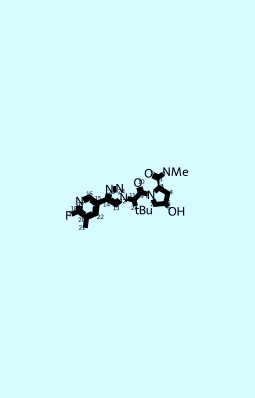 CNC(=O)[C@H]1CC(O)CN1C(=O)C(n1cc(-c2cnc(F)c(C)c2)nn1)C(C)(C)C